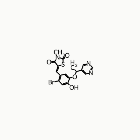 CC(Oc1cc(/C=C2\SC(=O)N(C)C2=O)c(Br)cc1O)c1cncnc1